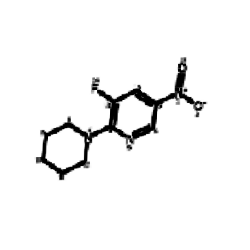 O=[N+]([O-])c1cnc(N2CCCCC2)c(F)c1